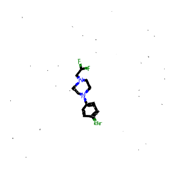 FC(F)CN1CCN(c2ccc(Br)cc2)CC1